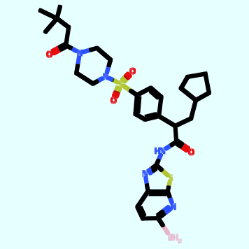 Bc1ccc2nc(NC(=O)C(CC3CCCC3)c3ccc(S(=O)(=O)N4CCN(C(=O)CC(C)(C)C)CC4)cc3)sc2n1